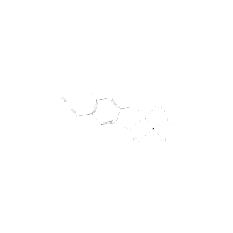 CC(C)(C)[Si](C)(C)Oc1ccc(N=C=O)c(F)c1